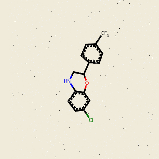 FC(F)(F)c1ccc(C2CNc3ccc(Cl)cc3O2)cc1